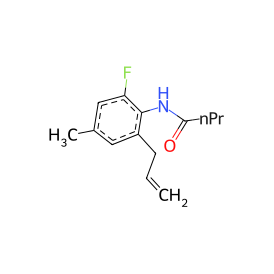 C=CCc1cc(C)cc(F)c1NC(=O)CCC